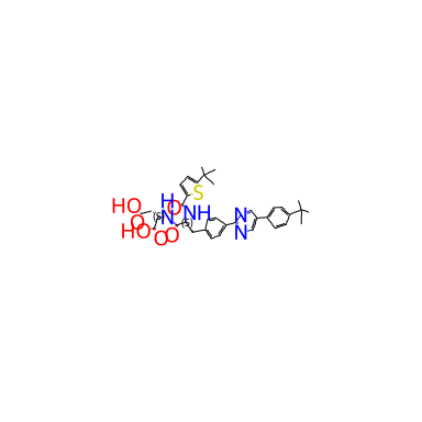 CC(C)(C)c1ccc(-c2cnc(-c3ccc(C[C@H](NC(=O)c4ccc(C(C)(C)C)s4)C(=O)N[C@@H](CC(=O)O)C(=O)O)cc3)nc2)cc1